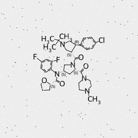 CN1CCN(C(=O)[C@@H]2C[C@H](N(C(=O)[C@@H]3CCCO3)c3ccc(F)cc3F)CN2C(=O)[C@@H]2CN(C(C)(C)C)C[C@H]2c2ccc(Cl)cc2)CC1